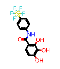 O=C(Nc1ccc(S(F)(F)(F)(F)F)cc1)c1ccc(O)c(O)c1O